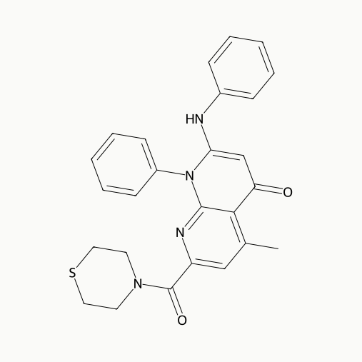 Cc1cc(C(=O)N2CCSCC2)nc2c1c(=O)cc(Nc1ccccc1)n2-c1ccccc1